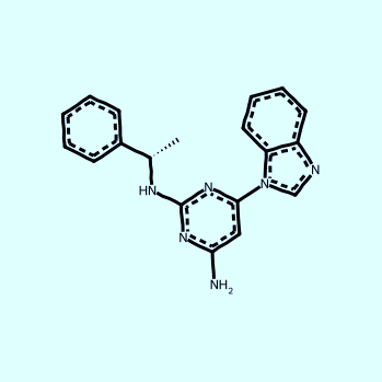 C[C@H](Nc1nc(N)cc(-n2cnc3ccccc32)n1)c1ccccc1